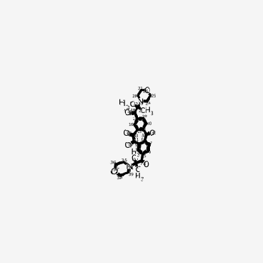 CC(C)(C(=O)c1ccc2c(c1)C(=O)C(=O)c1cc(C(=O)C(C)(C)N3CCOCC3)ccc1C2=O)N1CCOCC1